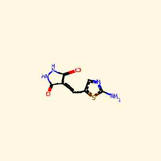 Nc1ncc(C=C2C(=O)NNC2=O)s1